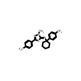 Cn1nc(-c2ccc(C(F)(F)F)cc2)sc1=NC1(c2ccc(C(F)(F)F)cc2)CCCCC1